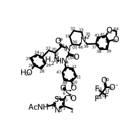 CC(=O)Nc1nc(C)c(S(=O)(=O)Oc2ccc(NC(=O)N(C(=O)[C@@H](N)Cc3ccc(O)cc3)[C@H]3CCC[N+](C)(Cc4ccc5c(c4)OCO5)C3)cc2)s1.O=C([O-])C(F)(F)F